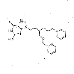 Nc1nc2c(ncn2COC(COCc2ccccc2)COCc2ccccc2)c(=O)[nH]1